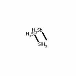 [CH3][SbH2].[SiH3][SiH3]